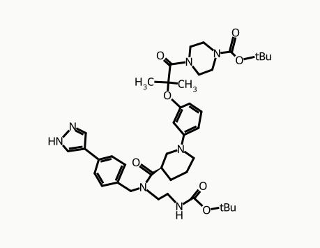 CC(C)(C)OC(=O)NCCN(Cc1ccc(-c2cn[nH]c2)cc1)C(=O)[C@@H]1CCCN(c2cccc(OC(C)(C)C(=O)N3CCN(C(=O)OC(C)(C)C)CC3)c2)C1